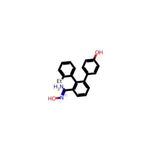 CCc1ccccc1-c1c(/C(N)=N/O)cccc1-c1ccc(O)cc1